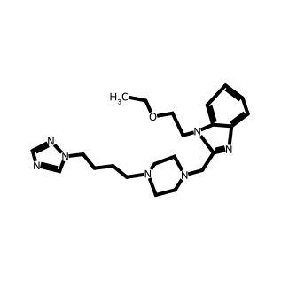 CCOCCn1c(CN2CCN(CCCCn3cncn3)CC2)nc2ccccc21